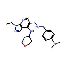 CCn1ncc2c(NC3CCOCC3)c(CNCc3ccc(N(C)C)cc3)cnc21